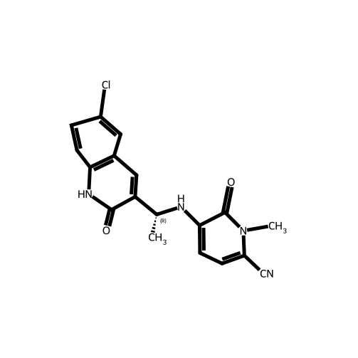 C[C@@H](Nc1ccc(C#N)n(C)c1=O)c1cc2cc(Cl)ccc2[nH]c1=O